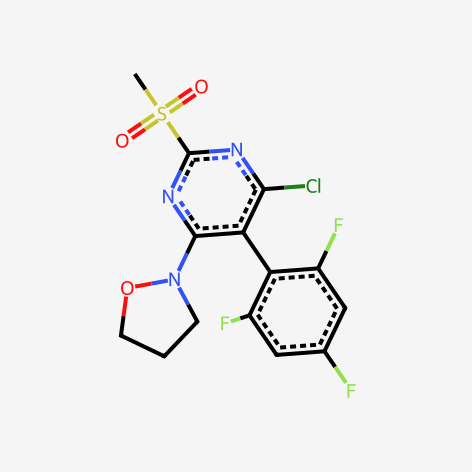 CS(=O)(=O)c1nc(Cl)c(-c2c(F)cc(F)cc2F)c(N2CCCO2)n1